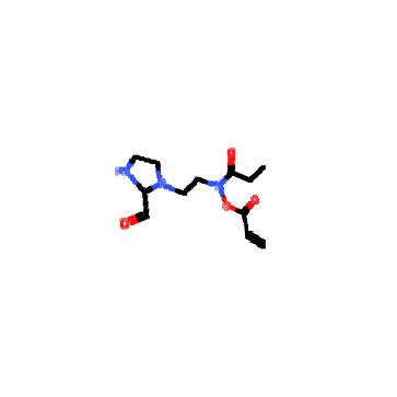 C=CC(=O)ON(CCN1CCNC1C=O)C(=O)CC